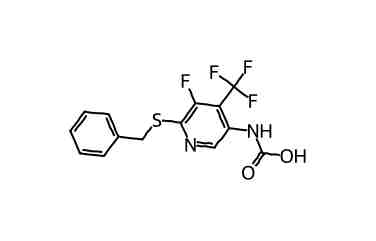 O=C(O)Nc1cnc(SCc2ccccc2)c(F)c1C(F)(F)F